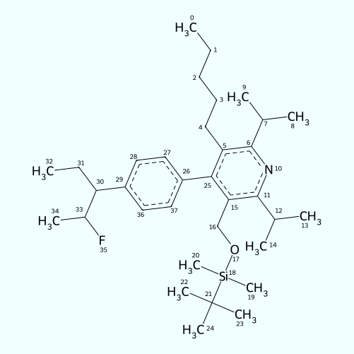 CCCCCc1c(C(C)C)nc(C(C)C)c(CO[Si](C)(C)C(C)(C)C)c1-c1ccc(C(CC)C(C)F)cc1